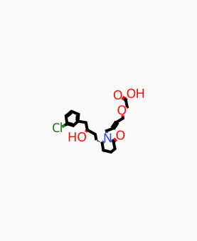 O=C(O)COCC#CCN1C(=O)CCC[C@@H]1CCC(O)Cc1cccc(Cl)c1